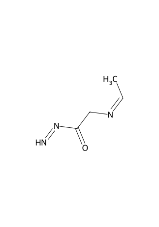 C/C=N\CC(=O)N=N